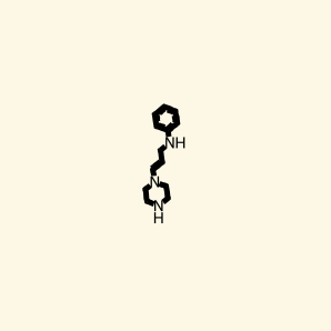 C(=CN1CCNCC1)CNc1ccccc1